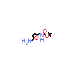 CC(C)(C)OC(=O)NCc1ccc(CN)o1